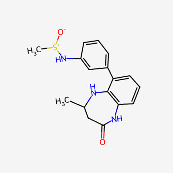 CC1CC(=O)Nc2cccc(-c3cccc(N[S+](C)[O-])c3)c2N1